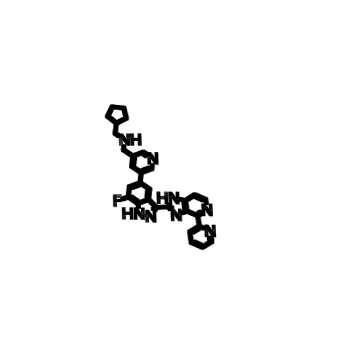 Fc1cc(-c2cncc(CNCC3CCCC3)c2)cc2c(-c3nc4c(-c5ccccn5)nccc4[nH]3)n[nH]c12